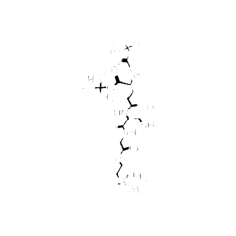 CC(C)(C)OC(=O)N[C@@H](CCC(=O)N[C@@H](CS)C(=O)NCC(=O)OCC[N+](C)(C)C)C(=O)OC(C)(C)C.[Br-]